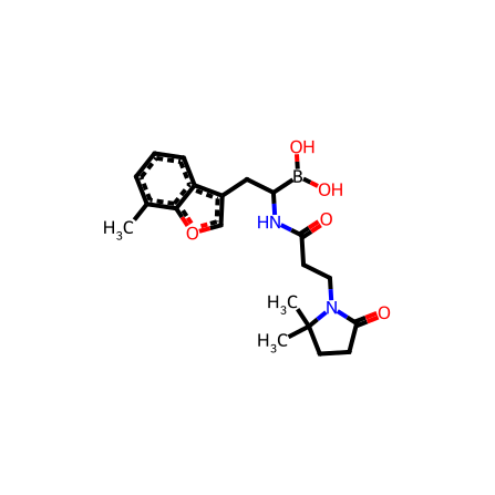 Cc1cccc2c(CC(NC(=O)CCN3C(=O)CCC3(C)C)B(O)O)coc12